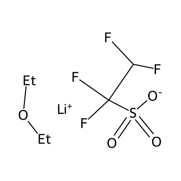 CCOCC.O=S(=O)([O-])C(F)(F)C(F)F.[Li+]